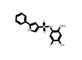 COc1cc(C#N)c(F)cc1NS(=O)(=O)c1c[nH]c(-c2ccccc2)c1